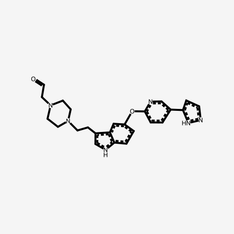 O=CCN1CCN(CCc2c[nH]c3ccc(Oc4ccc(-c5ccn[nH]5)cn4)cc23)CC1